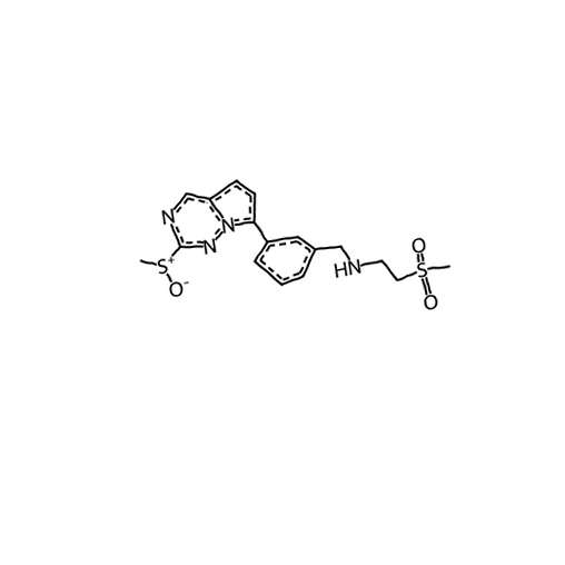 C[S+]([O-])c1ncc2ccc(-c3cccc(CNCCS(C)(=O)=O)c3)n2n1